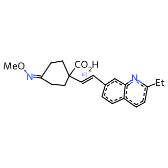 CCc1ccc2ccc(/C=C/C3(C(=O)O)CCC(=NOC)CC3)cc2n1